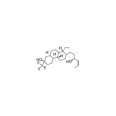 C/C=C\[C@@H](O)[C@@H](C)[C@H]1CC[C@H]2[C@@H]3CC[C@@H]4C[C@@](O)(C(F)(F)F)CC[C@]4(C)[C@H]3CC[C@]12C